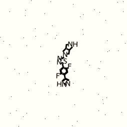 Fc1cc(-c2nnc(N3CC4CNCC4C3)s2)c(F)cc1-c1cn[nH]c1